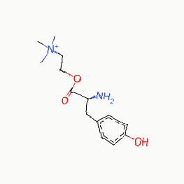 C[N+](C)(C)CCOC(=O)[C@@H](N)Cc1ccc(O)cc1